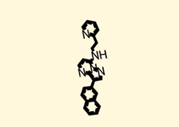 c1ccc(CCNc2ccnc3c(-c4ccc5ccccc5c4)cnn23)nc1